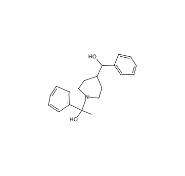 CC(O)(c1ccccc1)N1CCC(C(O)c2ccccc2)CC1